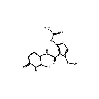 COc1csc(NC(C)=O)c1C(=O)NC1CCC(=O)NC1O